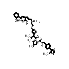 Cc1ncsc1-c1ccc(CNC(=O)[C@@H]2C[C@@H](O)CN2C(=O)C(c2cc(OCCN(C)Cc3cc4cc(-c5ccccc5O)nnc4[nH]3)no2)C(C)C)cc1